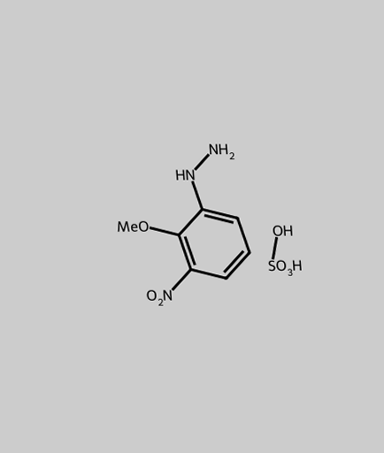 COc1c(NN)cccc1[N+](=O)[O-].O=S(=O)(O)O